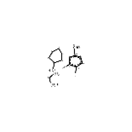 NC1CCCCC1.NCC(=O)O.O=Cc1ccc(F)c(F)c1